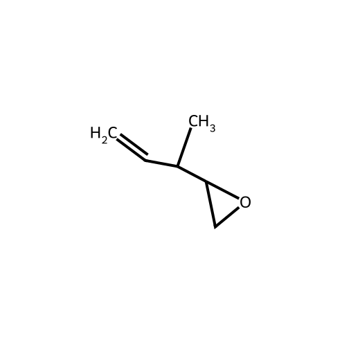 C=CC(C)C1CO1